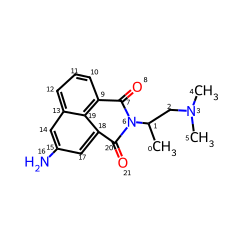 CC(CN(C)C)N1C(=O)c2cccc3cc(N)cc(c23)C1=O